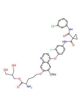 COc1cc2c(Oc3ccc(NC(=O)C4(C(=O)Nc5cccc(Cl)c5)CC4)cc3F)ccnc2cc1OCCCC(N)C(=O)OCC(CO)CO